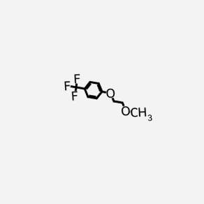 COCCOc1ccc(C(F)(F)F)cc1